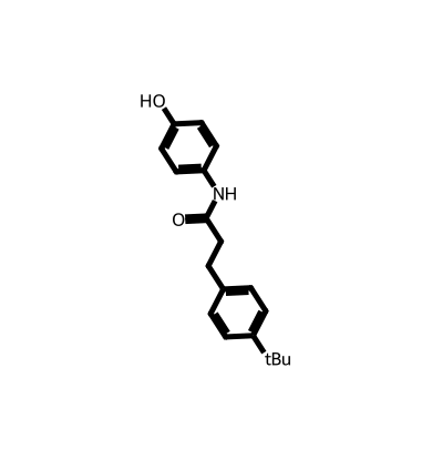 CC(C)(C)c1ccc(CCC(=O)Nc2ccc(O)cc2)cc1